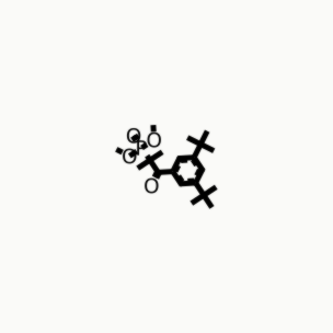 COP(=O)(OC)C(C)(C)C(=O)c1cc(C(C)(C)C)cc(C(C)(C)C)c1